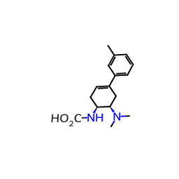 Cc1cccc(C2=CC[C@H](NC(=O)O)[C@H](N(C)C)C2)c1